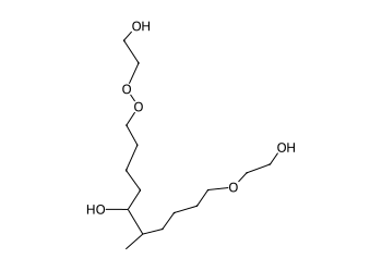 CC(CCCCOCCO)C(O)CCCCOOCCO